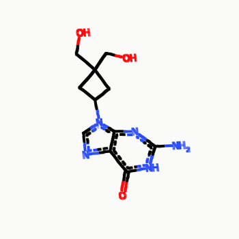 Nc1nc2c(ncn2C2CC(CO)(CO)C2)c(=O)[nH]1